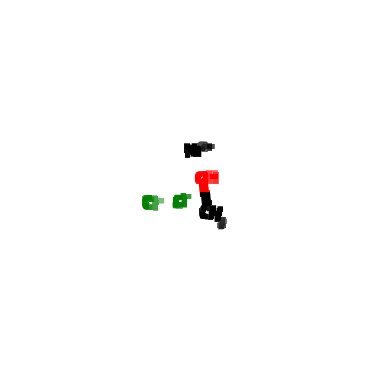 CO.[Cl-].[Cl-].[Ni+2]